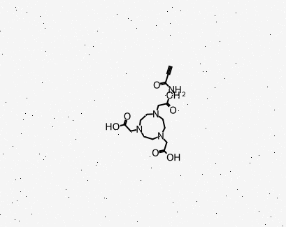 C#CC(N)=O.O=C(O)CN1CCN(CC(=O)O)CCN(CC(=O)O)CC1